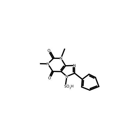 Cn1c(=O)c2c(nc(-c3ccccc3)n2S(=O)(=O)O)n(C)c1=O